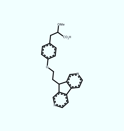 COC(Cc1ccc(OCCC2c3cnccc3-c3ccncc32)cc1)C(=O)O